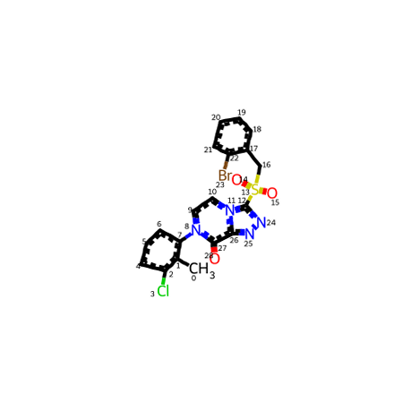 Cc1c(Cl)cccc1-n1ccn2c(S(=O)(=O)Cc3ccccc3Br)nnc2c1=O